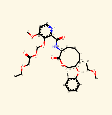 CCOCC(=O)OCOc1c(OC)ccnc1C(=O)N[C@H]1CCC[C@H](CCOC)[C@@H](Oc2ccccc2)[C@H](C)OC1=O